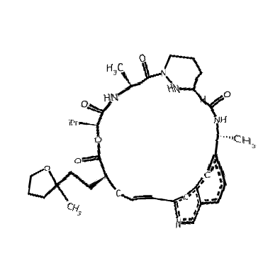 CC(C)[C@@H]1OC(=O)[C@H](CCC2(C)CCCO2)C/C=C/c2cc3cc(ccc3cn2)[C@@H](C)NC(=O)[C@@H]2CCCN(N2)C(=O)[C@H](C)NC1=O